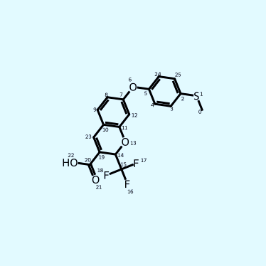 CSc1ccc(Oc2ccc3c(c2)OC(C(F)(F)F)C(C(=O)O)=C3)cc1